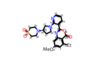 CCc1cc(OC)cc2nc(-c3cccnc3N3CC[C@@H](N4CCS(=O)(=O)CC4)C3)oc(=O)c12